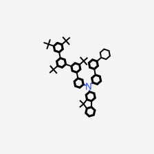 CC(C)(C)c1cc(-c2cccc(N(c3cccc(-c4cccc(C5CCCCC5)c4)c3)c3ccc4c(c3)C(C)(C)c3ccccc3-4)c2)cc(-c2cc(-c3cc(C(C)(C)C)cc(C(C)(C)C)c3)cc(C(C)(C)C)c2)c1